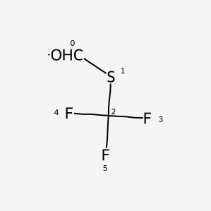 O=[C]SC(F)(F)F